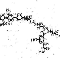 C[C@@H](NC(=O)c1ccc(NNC(=O)CCCNC(=O)CN(CCNCC(=O)O)CCN(CCNCC(=O)O)CC(=O)O)cc1)C(=O)N1CCC[C@H]1B(O)O